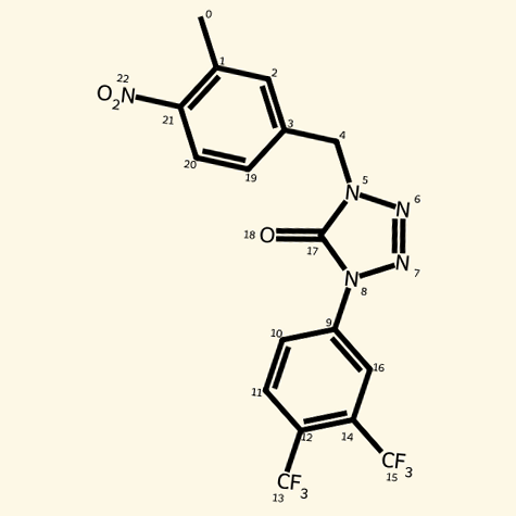 Cc1cc(Cn2nnn(-c3ccc(C(F)(F)F)c(C(F)(F)F)c3)c2=O)ccc1[N+](=O)[O-]